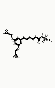 O=C(CCCCCc1cc(OCC2CO2)cc(OCC2CO2)c1)NS(=O)(=O)C(F)(F)F